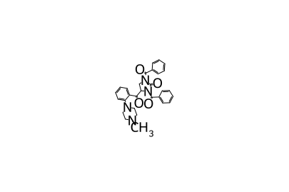 CN1CCN(c2ccccc2C(=O)C2CN(C(=O)c3ccccc3)C(=O)N2C(=O)c2ccccc2)CC1